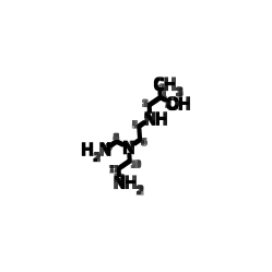 CC(O)CNCCN(CN)CCN